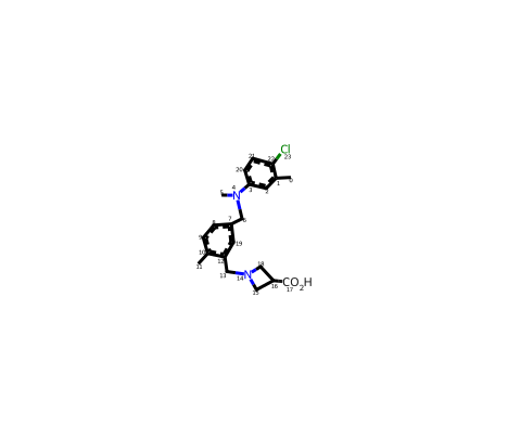 Cc1cc(N(C)Cc2ccc(C)c(CN3CC(C(=O)O)C3)c2)ccc1Cl